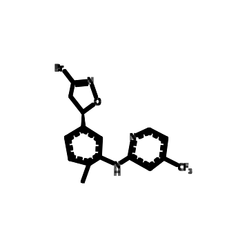 Cc1ccc([C@H]2CC(Br)=NO2)cc1Nc1cc(C(F)(F)F)ccn1